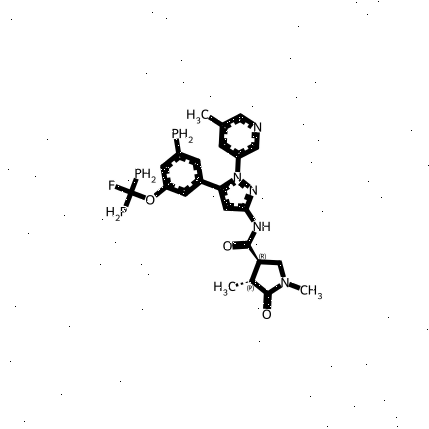 Cc1cncc(-n2nc(NC(=O)[C@H]3CN(C)C(=O)[C@@H]3C)cc2-c2cc(P)cc(OC(F)(P)P)c2)c1